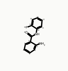 Nc1ccccc1C(=O)Nc1ccccc1F